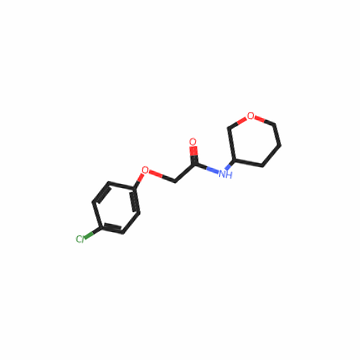 O=C(COc1ccc(Cl)cc1)NC1CCCOC1